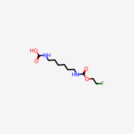 O=C(O)NCCCCCCNC(=O)OCCF